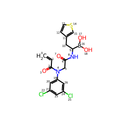 C=CC(=O)N(CC(=O)NC(Cc1ccsc1)B(O)O)c1cc(Cl)cc(Cl)c1